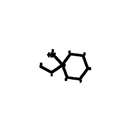 CCC1([NH])CCCCC1